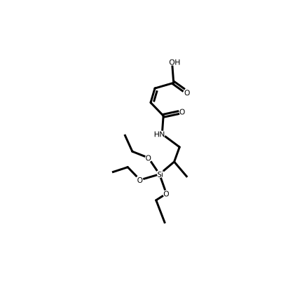 CCO[Si](OCC)(OCC)C(C)CNC(=O)/C=C\C(=O)O